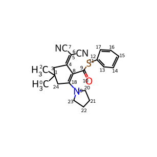 CC1(C)CC(=C(C#N)C#N)C(C(=O)Sc2ccccc2)=C(N2CCCC2)C1